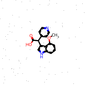 COc1cccc2[nH]cc(C(C(=O)O)c3ccncc3)c12